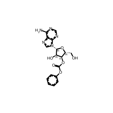 Nc1ncnc2c1ncn2[C@@H]1O[C@H](CO)[C@@H](OC(=O)Oc2ccccc2)[C@H]1O